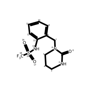 O=C1NCCCN1Cc1ccccc1NS(=O)(=O)C(F)(F)F